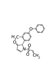 C=CS(=O)(=O)N1C=CC(=O)C1c1ccc(Oc2ccccc2)cc1C